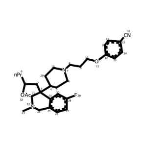 CCCC(CC1(C2CCN(CCCOc3ccc(C#N)cc3)CC2)CN(C)Cc2ccc(F)cc21)OC(C)=O